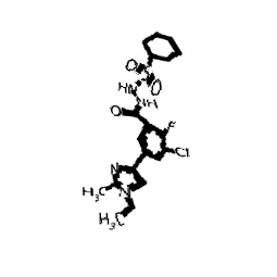 CCn1cc(-c2cc(Cl)c(F)c(C(=O)NNS(=O)(=O)C3CCCCC3)c2)nc1C